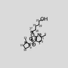 Cc1ccc(S(=O)(=O)[C@@H]2CCC[C@H]2C)c(O[C@H](C)CCCCO)n1